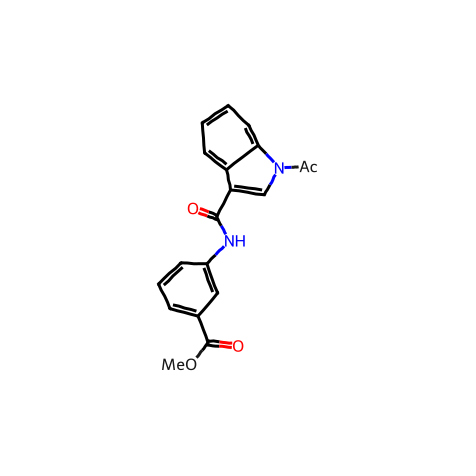 COC(=O)c1cccc(NC(=O)c2cn(C(C)=O)c3ccccc23)c1